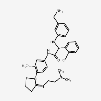 Cc1cc(NC(=O)C(Nc2cccc(CN)c2)c2ccccc2Cl)ccc1N1CCC/C1=N/CCN(C)C